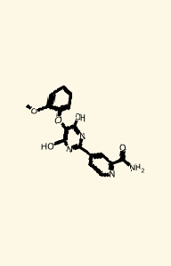 COc1ccccc1Oc1c(O)nc(-c2ccnc(C(N)=O)c2)nc1O